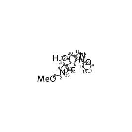 COCCN1CC[C@H](c2cc3c(cnn3C3CCCCO3)cc2C)[C@H](F)C1